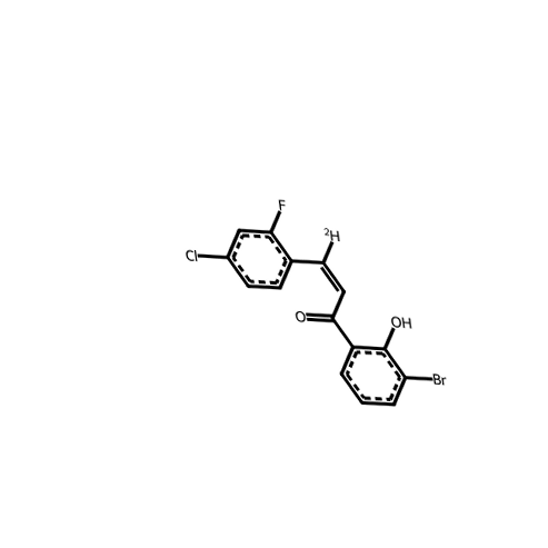 [2H]C(=CC(=O)c1cccc(Br)c1O)c1ccc(Cl)cc1F